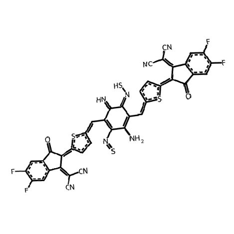 N#CC(C#N)=C1/C(=c2\cc/c(=C\C3=C(N=S)C(N)=C(/C=c4\cc/c(=C5/C(=O)c6cc(F)c(F)cc6C5=C(C#N)C#N)s4)/C(=N/S)C3=N)s2)C(=O)c2cc(F)c(F)cc21